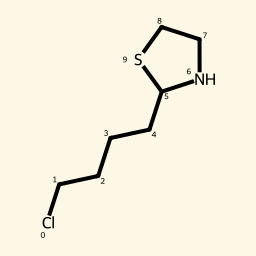 ClCCCCC1NCCS1